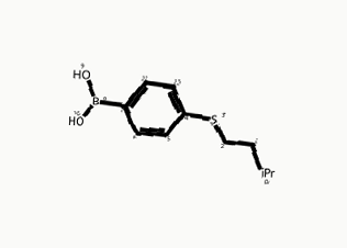 CC(C)CCSc1ccc(B(O)O)cc1